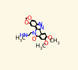 CNCCn1c(=O)c2cc(OC)c(OC)cc2c2nnc3cc4c(cc3c21)OCO4